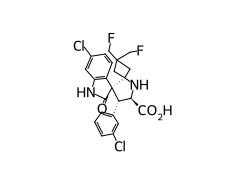 O=C(O)[C@@H]1NC2(CC(CF)(CF)C2)[C@@]2(C(=O)Nc3cc(Cl)ccc32)[C@H]1c1cccc(Cl)c1